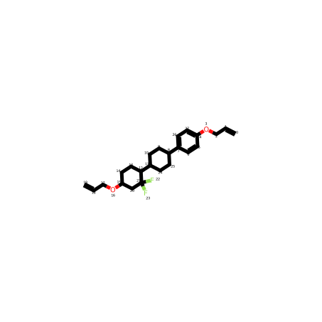 C=CCOc1ccc(C2CCC(C3CCC(OCC=C)CC3(F)F)CC2)cc1